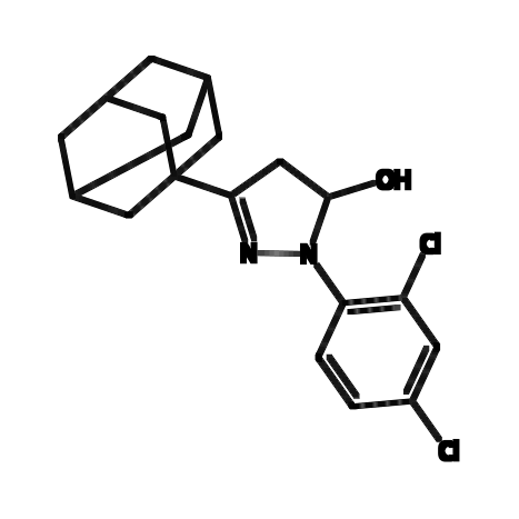 OC1CC(C23CC4CC(CC(C4)C2)C3)=NN1c1ccc(Cl)cc1Cl